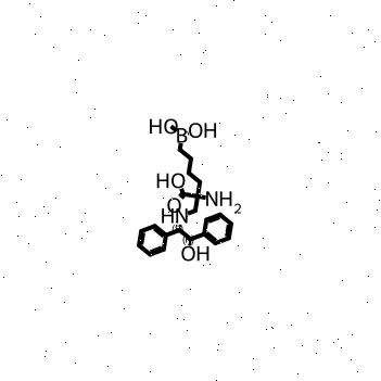 NC(CCCCB(O)O)(CN[C@@H](c1ccccc1)[C@H](O)c1ccccc1)C(=O)O